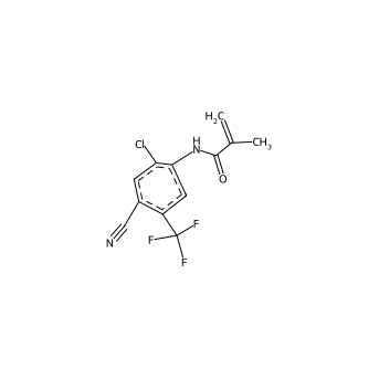 C=C(C)C(=O)Nc1cc(C(F)(F)F)c(C#N)cc1Cl